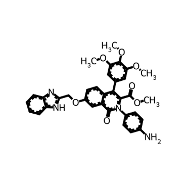 COC(=O)c1c(-c2cc(OC)c(OC)c(OC)c2)c2ccc(OCc3nc4ccccc4[nH]3)cc2c(=O)n1-c1ccc(N)cc1